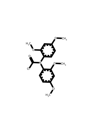 COc1ccc(N(C(=O)Cl)c2ccc(OC)cc2OC)c(OC)c1